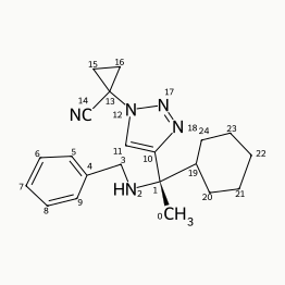 C[C@@](NCc1ccccc1)(c1cn(C2(C#N)CC2)nn1)C1CCCCC1